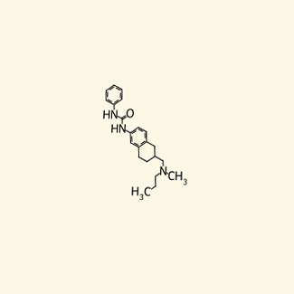 CCCN(C)CC1CCc2cc(NC(=O)Nc3ccccc3)ccc2C1